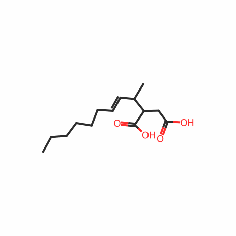 CCCCCCC=CC(C)C(CC(=O)O)C(=O)O